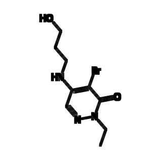 CCn1ncc(NCCCO)c(Br)c1=O